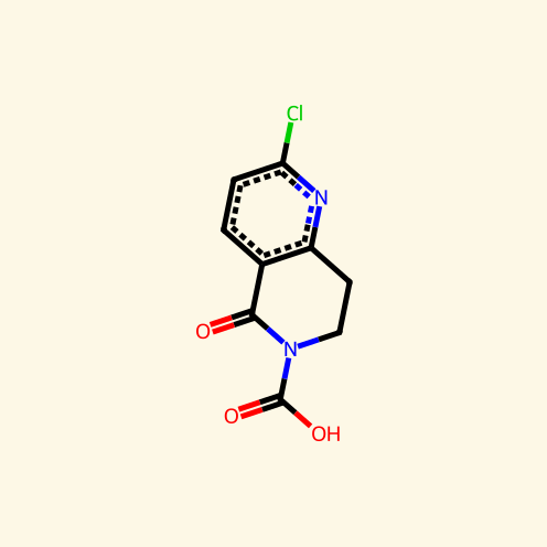 O=C(O)N1CCc2nc(Cl)ccc2C1=O